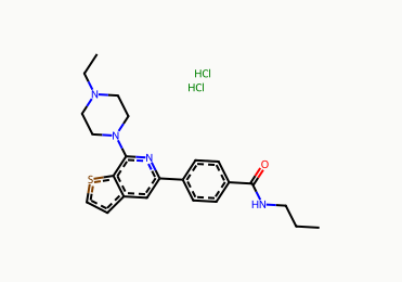 CCCNC(=O)c1ccc(-c2cc3ccsc3c(N3CCN(CC)CC3)n2)cc1.Cl.Cl